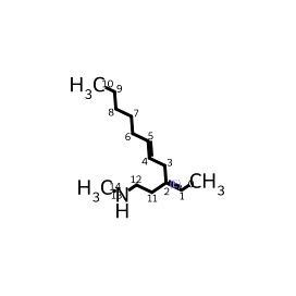 C/C=C(\CC=CCCCCC)CCNC